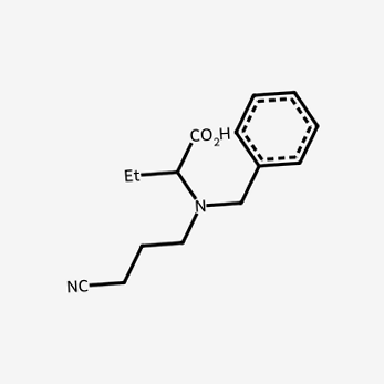 CCC(C(=O)O)N(CCCC#N)Cc1ccccc1